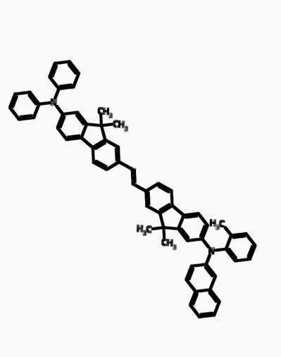 Cc1ccccc1N(c1ccc2c(c1)C(C)(C)c1cc(/C=C/c3ccc4c(c3)C(C)(C)c3cc(N(c5ccccc5)c5ccccc5)ccc3-4)ccc1-2)c1ccc2ccccc2c1